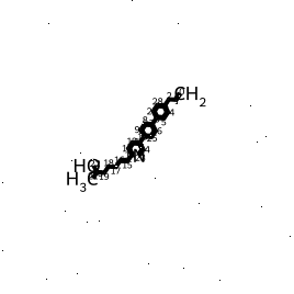 C=CCc1ccc(-c2ccc(-c3ccc(C=CCCCC(C)O)nc3)cc2)cc1